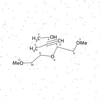 C#CC.CO.COCCOCCOC